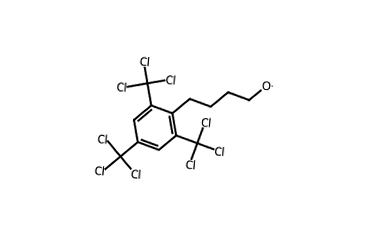 [O]CCCCc1c(C(Cl)(Cl)Cl)cc(C(Cl)(Cl)Cl)cc1C(Cl)(Cl)Cl